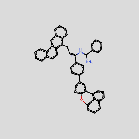 NC(N/C(=C\Cc1c2ccccc2cc2c1ccc1ccccc12)c1ccc(-c2ccc3c(c2)-c2cccc4cccc(c24)O3)cc1)c1ccccc1